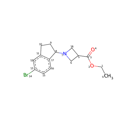 CCOC(=O)C1CN(C2CCc3cc(Br)ccc32)C1